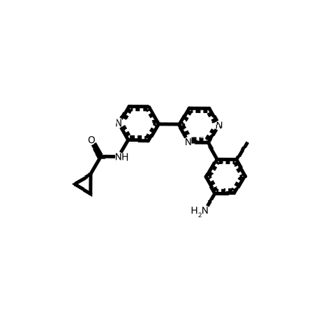 Cc1ccc(N)cc1-c1nccc(-c2ccnc(NC(=O)C3CC3)c2)n1